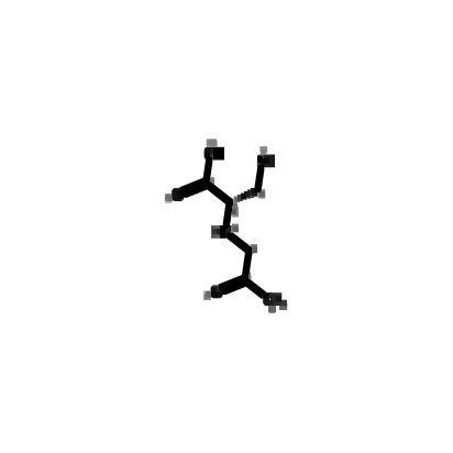 CC(=O)CN[C@@H](CS)C(=O)O